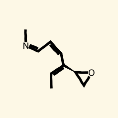 C/C=C(/C=C\C=N/C)[C@@H]1CO1